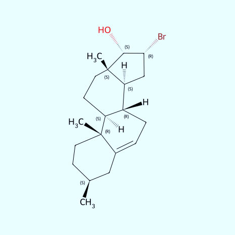 C[C@H]1CC[C@@]2(C)C(=CC[C@H]3[C@@H]4C[C@@H](Br)[C@@H](O)[C@@]4(C)CC[C@@H]32)C1